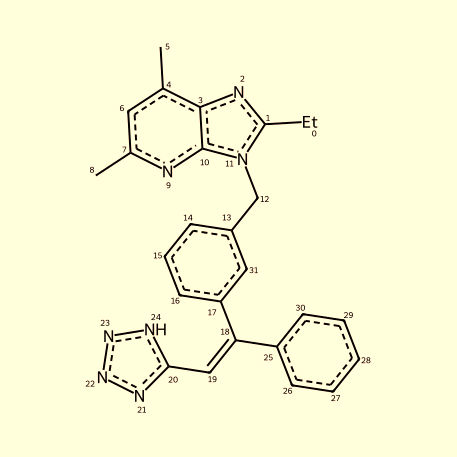 CCc1nc2c(C)cc(C)nc2n1Cc1cccc(/C(=C\c2nnn[nH]2)c2ccccc2)c1